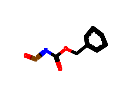 O=S=NC(=O)OCc1ccccc1